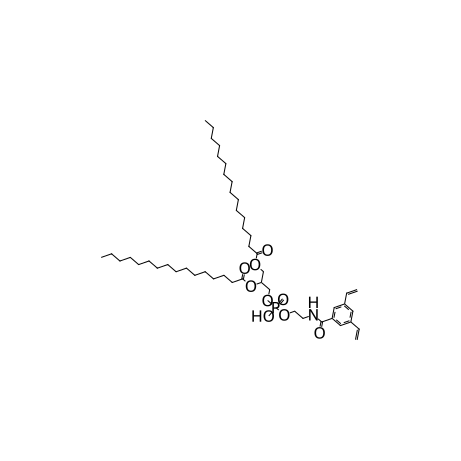 C=Cc1cc(C=C)cc(C(=O)NCCOP(=O)(O)OCC(COC(=O)CCCCCCCCCCCCCCC)OC(=O)CCCCCCCCCCCCCCC)c1